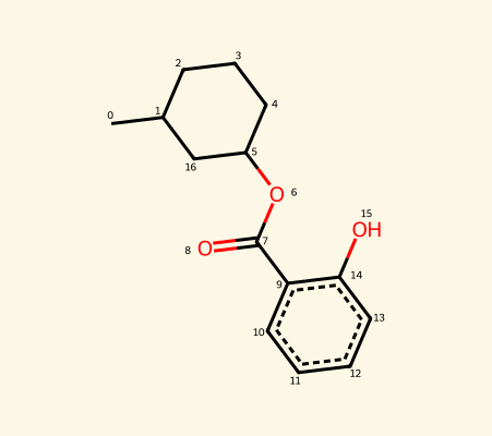 CC1CCCC(OC(=O)c2ccccc2O)C1